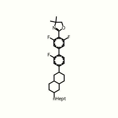 CCCCCCCC1CCC2CC(c3ccc(-c4cc(F)c(C5=NC(C)(C)CO5)c(F)c4)c(F)c3)CCC2C1